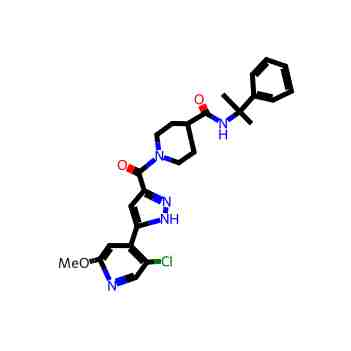 COc1cc(-c2cc(C(=O)N3CCC(C(=O)NC(C)(C)c4ccccc4)CC3)n[nH]2)c(Cl)cn1